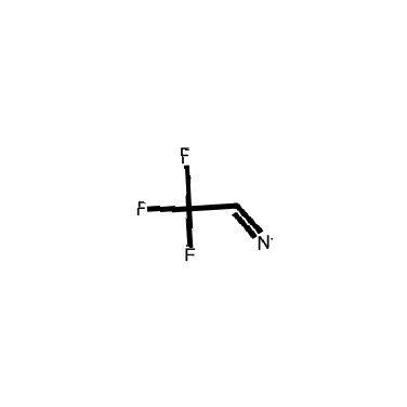 [N]=CC(F)(F)F